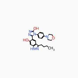 CCCCc1n[nH]c2cc(O)c(-c3nnc(O)n3-c3ccc(N4CCOCC4)cc3)cc12